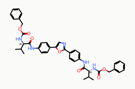 CC(C)[C@@H](NC(=O)OCc1ccccc1)C(=O)Nc1ccc(-c2cnc(-c3ccc(NC(=O)[C@H](NC(=O)OCc4ccccc4)C(C)C)cc3)o2)cc1